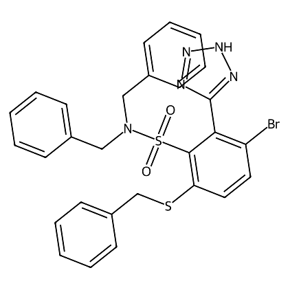 O=S(=O)(c1c(SCc2ccccc2)ccc(Br)c1-c1nn[nH]n1)N(Cc1ccccc1)Cc1ccccc1